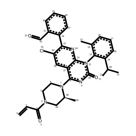 C=CC(=O)N1CCN(c2nc(=O)n(-c3c(C)cccc3C(C)C)c3nc(-c4ccccc4C=O)c(Cl)cc23)[C@@H](C)C1